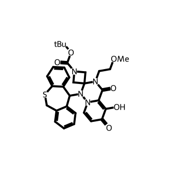 COCCN1C(=O)c2c(O)c(=O)ccn2N(C2c3ccccc3CSc3ccccc32)C12CN(C(=O)OC(C)(C)C)C2